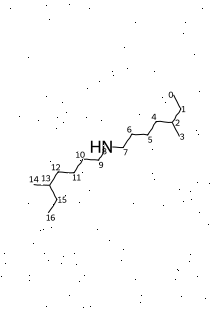 CCC(C)CCCCNCCCCC(C)CC